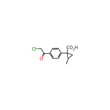 CC1CC1(C(=O)O)c1ccc(C(=O)CCl)cc1